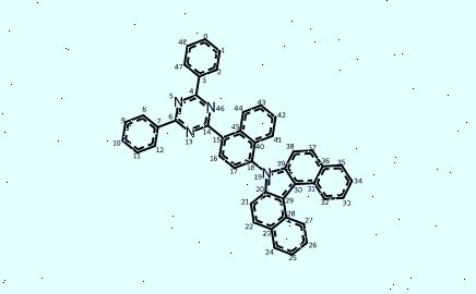 c1ccc(-c2nc(-c3ccccc3)nc(-c3ccc(-n4c5ccc6ccccc6c5c5c6ccccc6ccc54)c4ccccc34)n2)cc1